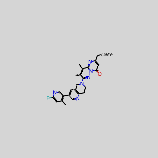 COCc1cc(=O)n2nc(N3CCc4ncc(-c5cnc(F)cc5C)cc4C3)c(C)c(C)c2n1